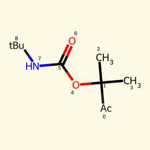 CC(=O)C(C)(C)OC(=O)NC(C)(C)C